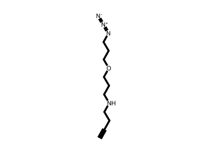 C#CCCNCCCOCCCN=[N+]=[N-]